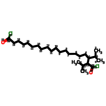 CC(C)C(CCCCCCCCCCCCCCCCC(=O)Cl)C(C(=O)Cl)C(C)C